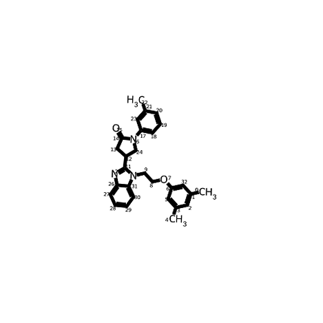 Cc1cc(C)cc(OCCn2c(C3CC(=O)N(c4cccc(C)c4)C3)nc3ccccc32)c1